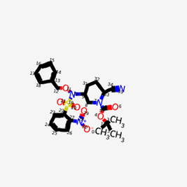 CC(C)(C)OC(=O)N1CC(N(OCc2ccccc2)S(=O)(=O)c2ccccc2[N+](=O)[O-])CCC1C#N